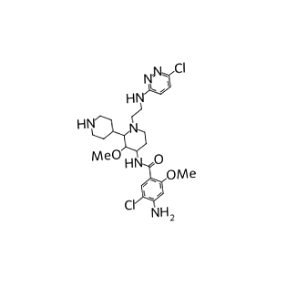 COc1cc(N)c(Cl)cc1C(=O)NC1CCN(CCNc2ccc(Cl)nn2)C(C2CCNCC2)C1OC